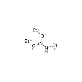 CCNN(OCC)OCC